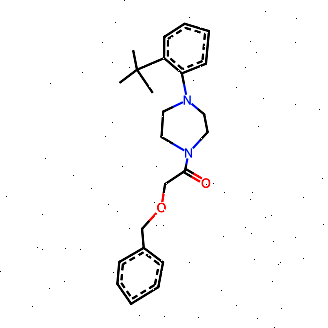 CC(C)(C)c1ccccc1N1CCN(C(=O)COCc2ccccc2)CC1